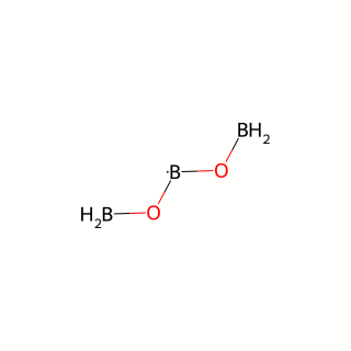 BO[B]OB